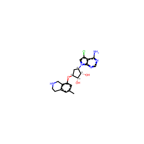 Cc1cc2c(c(O[C@H]3C[C@@H](n4cc(Cl)c5c(N)ncnc54)[C@H](O)[C@@H]3O)c1)CNCC2